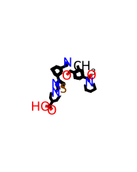 Cc1cc(C(=O)N2CCCCC2)ccc1COc1c(C#N)cccc1-c1csc(N2CCC(C(=O)O)CC2)n1